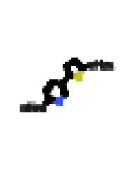 CCCCCCc1ccc(-c2ccc(CCCCCC)s2)cn1